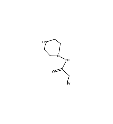 CC(C)CC(=O)NN1CCNCC1